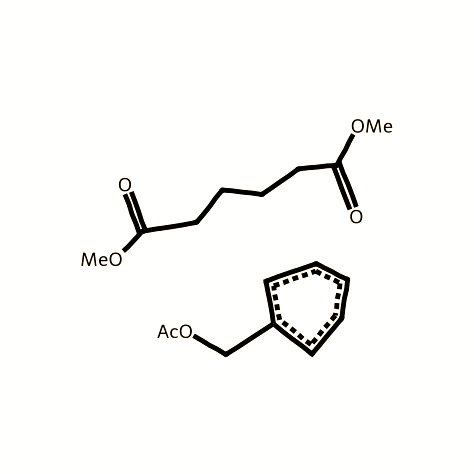 CC(=O)OCc1ccccc1.COC(=O)CCCCC(=O)OC